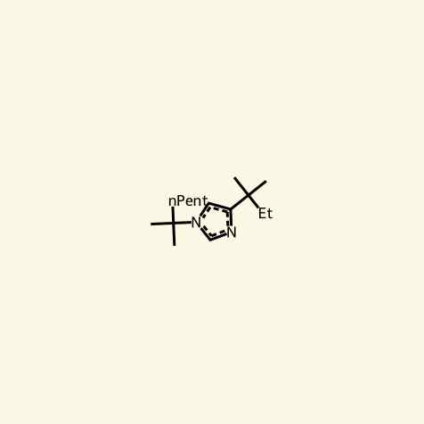 CCCCCC(C)(C)n1cnc(C(C)(C)CC)c1